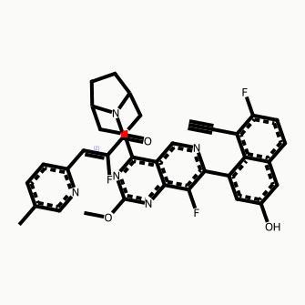 C#Cc1c(F)ccc2cc(O)cc(-c3ncc4c(N5CC6CCC(C5)N6C(=O)/C(F)=C/c5ccc(C)cn5)nc(OC)nc4c3F)c12